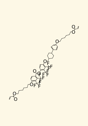 C=CC(=O)OCCCCCCOc1ccc(C2CCC(COc3ccc(OC(=O)c4ccc(OCCCCCCOC(=O)C=C)c(C(F)(F)F)c4C(F)(F)F)c(C(F)(F)F)c3C(F)(F)F)CC2)cc1